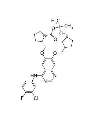 CC(C)(C)OC(=O)N1CCC[C@H]1COc1cc2c(Nc3ccc(F)c(Cl)c3)ncnc2cc1OCC1CCCC1